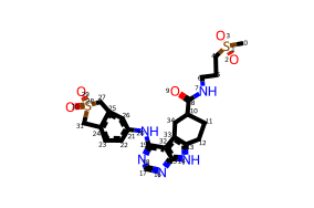 CS(=O)(=O)CCCNC(=O)C1CCc2[nH]c3ncnc(Nc4ccc5c(c4)CS(=O)(=O)C5)c3c2C1